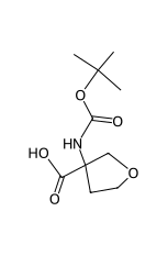 CC(C)(C)OC(=O)NC1(C(=O)O)CCOC1